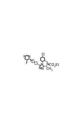 CCOC(=O)N1Cc2cc(Cl)ccc2-n2c(C3CC4(C3)CN(c3ncncc3F)C4)nnc2C1C